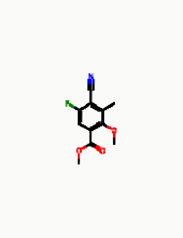 COC(=O)c1cc(F)c(C#N)c(C)c1OC